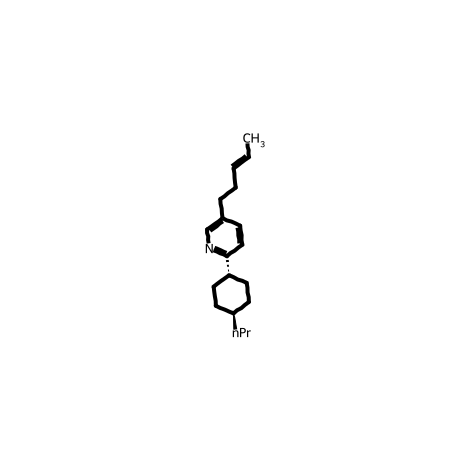 C/C=C/CCc1ccc([C@H]2CC[C@H](CCC)CC2)nc1